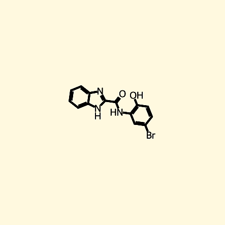 O=C(Nc1cc(Br)ccc1O)c1nc2ccccc2[nH]1